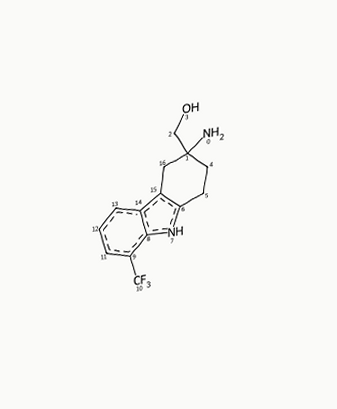 NC1(CO)CCc2[nH]c3c(C(F)(F)F)cccc3c2C1